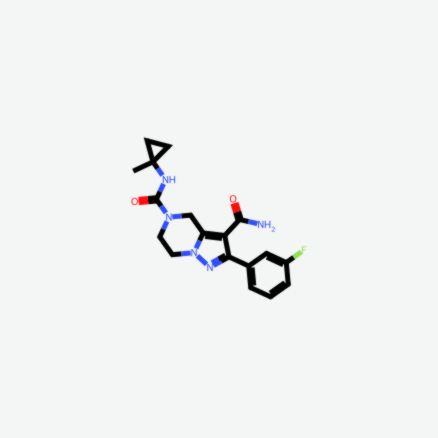 CC1(NC(=O)N2CCn3nc(-c4cccc(F)c4)c(C(N)=O)c3C2)CC1